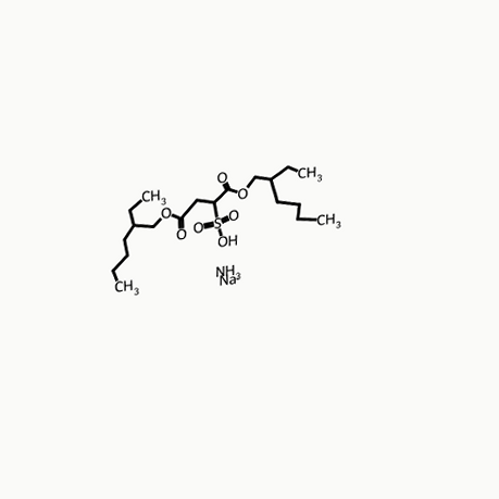 CCCCC(CC)COC(=O)CC(C(=O)OCC(CC)CCCC)S(=O)(=O)O.N.[Na]